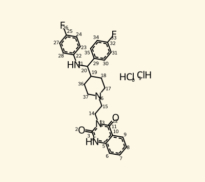 Cl.Cl.O=c1[nH]c2ccccc2c(=O)n1CCN1CCC(C(Nc2ccc(F)cc2)c2ccc(F)cc2)CC1